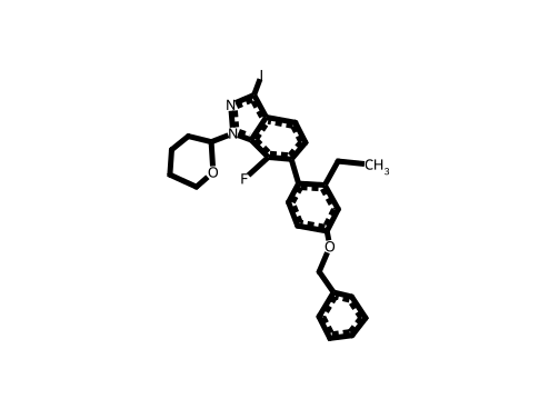 CCc1cc(OCc2ccccc2)ccc1-c1ccc2c(I)nn(C3CCCCO3)c2c1F